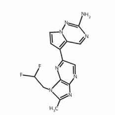 Cc1nc2ncc(-c3ccn4nc(N)ncc34)nc2n1CC(F)F